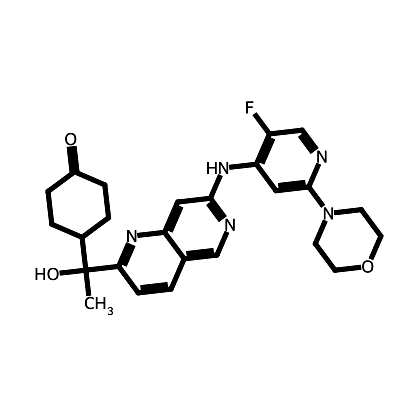 CC(O)(c1ccc2cnc(Nc3cc(N4CCOCC4)ncc3F)cc2n1)C1CCC(=O)CC1